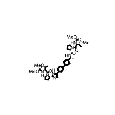 COC(=O)N[C@H](C(=O)N1CCC[C@H]1C(=O)N[C@@H](C)c1ccc(-c2ccc(-c3cnc([C@@H]4CCCN4C(=O)[C@@H](NC(=O)OC)[C@@H](C)OC)[nH]3)cc2)cc1)[C@@H](C)OC